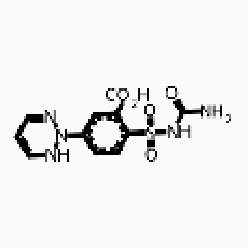 NC(=O)NS(=O)(=O)c1ccc(N2N=CC=CN2)cc1C(=O)O